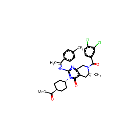 COC(=O)[C@H]1CC[C@H](n2c(N[C@@H](C)c3ccc(C(F)(F)F)cc3)nc3c(c2=O)C[C@@H](C)N(C(=O)c2ccc(Cl)c(Cl)c2)C3)CC1